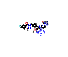 COc1ccc(F)cc1C(=O)NCc1ccc(-c2nn(C3CCCN(C(=O)n4cncn4)C3)c(N)c2C(N)=O)cc1